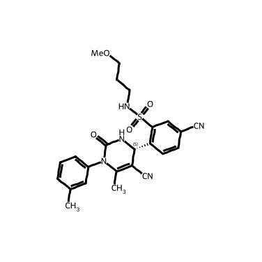 COCCCNS(=O)(=O)c1cc(C#N)ccc1[C@H]1NC(=O)N(c2cccc(C)c2)C(C)=C1C#N